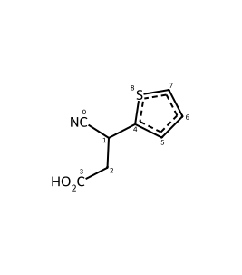 N#CC(CC(=O)O)c1cccs1